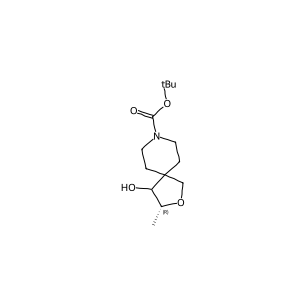 C[C@H]1OCC2(CCN(C(=O)OC(C)(C)C)CC2)C1O